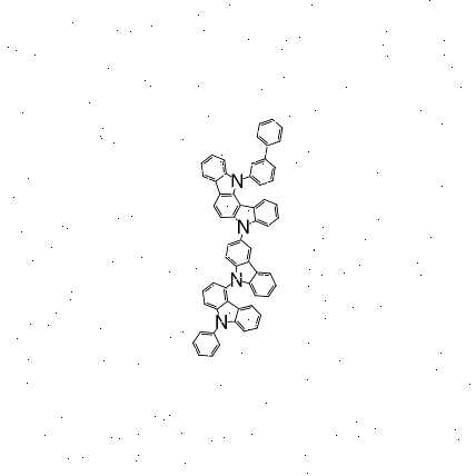 c1ccc(-c2cccc(-n3c4ccccc4c4ccc5c(c6ccccc6n5-c5ccc6c(c5)c5ccccc5n6-c5cccc6c5c5ccccc5n6-c5ccccc5)c43)c2)cc1